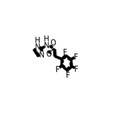 O=S(=O)(C=Cc1c(F)c(F)c(F)c(F)c1F)Nc1ncc[nH]1